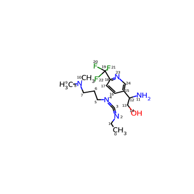 CCN=C=NCCCN(C)C.NC(CO)c1ccc(C(F)(F)F)nc1